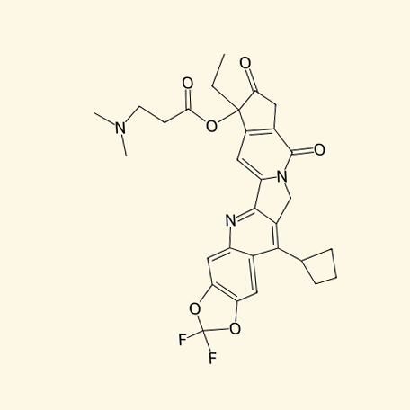 CCC1(OC(=O)CCN(C)C)C(=O)Cc2c1cc1n(c2=O)Cc2c-1nc1cc3c(cc1c2C1CCC1)OC(F)(F)O3